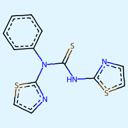 S=C(Nc1nccs1)N(c1ccccc1)c1nccs1